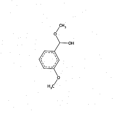 COc1cccc(C(O)OC)c1